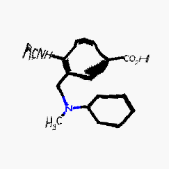 CC(=O)Nc1ccc(C(=O)O)cc1CN(C)C1CCCCC1